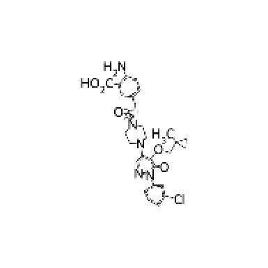 CC1(COc2c(N3CCN([S@+]([O-])Cc4ccc(N)c(C(=O)O)c4)CC3)cnn(-c3cccc(Cl)c3)c2=O)CC1